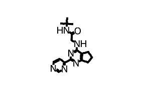 CC(C)(C)NC(=O)CNc1nc(-c2ccncn2)nc2c1CCC2